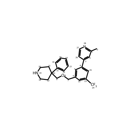 Cc1cc(-c2cc(COCC3(c4ccccc4)CCNCC3)cc(C(F)(F)F)c2)ccn1